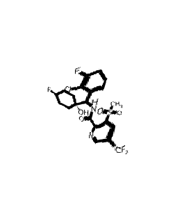 CS(=O)(=O)c1cc(C(F)(F)F)cnc1C(=O)NC(c1cccc(F)c1Cl)[C@]1(O)CC[C@H](F)CC1